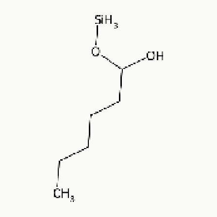 CCCCCC(O)O[SiH3]